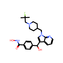 CC(C)(F)CN1CCC(Cn2cc(C(O)c3ccc(C(=O)NO)cc3)c3cccnc32)CC1